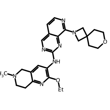 CCOc1nc2c(cc1Nc1ncc3ccnc(N4CC5(CCOCC5)C4)c3n1)CN(C)CC2